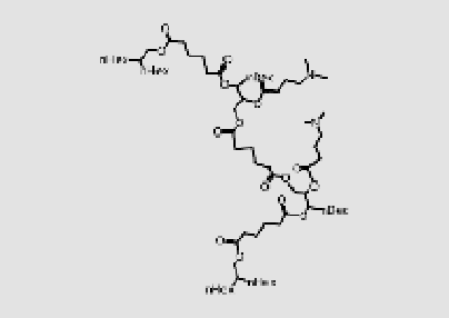 CCCCCCCCCCC(OC(=O)CCCCC(=O)OCC(CCCCCC)CCCCCC)C(COC(=O)CCCCC(=O)OCC(OC(=O)CCCN(C)C)C(CCCCCCCCCC)OC(=O)CCCCC(=O)OCC(CCCCCC)CCCCCC)OC(=O)CCCN(C)C